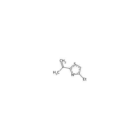 C=C(C)c1nc(CC)cs1